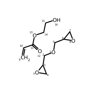 C(OCC1CO1)C1CO1.C=CC(=O)OCCO